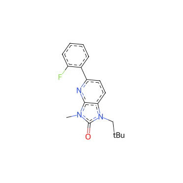 Cn1c(=O)n(CC(C)(C)C)c2ccc(-c3ccccc3F)nc21